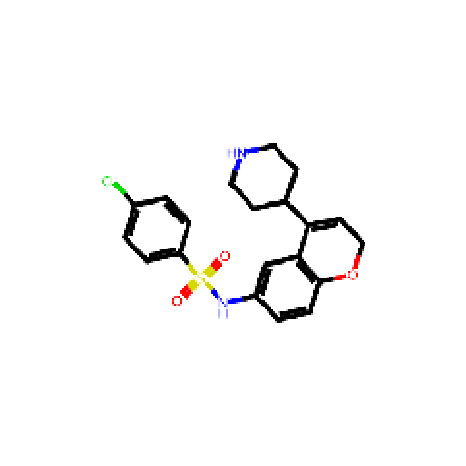 O=S(=O)(Nc1ccc2c(c1)C(C1CCNCC1)=CCO2)c1ccc(Cl)cc1